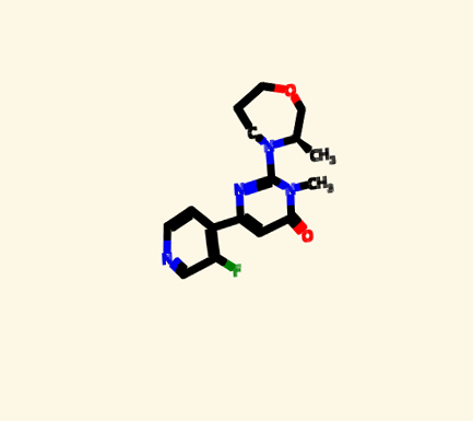 C[C@@H]1COCCCN1c1nc(-c2ccncc2F)cc(=O)n1C